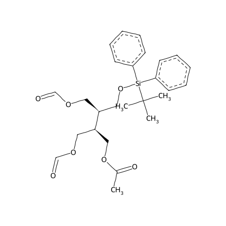 CC(=O)OC[C@@H](COC=O)[C@@H](COC=O)CO[Si](c1ccccc1)(c1ccccc1)C(C)(C)C